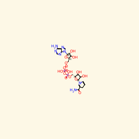 NC(=O)C1=CN([C@@H]2O[C@H](COP(=O)(O)OP(=O)(O)OOOC[C@H]3O[C@@H](n4cnc5c(N)ncnc54)[C@H](O)[C@H]3O)[C@H](O)[C@H]2O)C=CC1